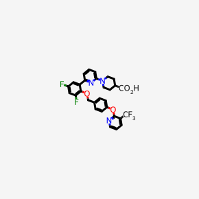 O=C(O)C1CCN(c2cccc(-c3cc(F)cc(F)c3OCc3ccc(Oc4ncccc4C(F)(F)F)cc3)n2)CC1